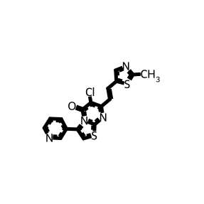 Cc1ncc(/C=C/c2nc3scc(-c4cccnc4)n3c(=O)c2Cl)s1